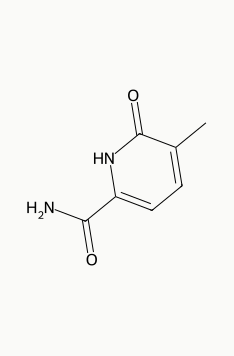 Cc1ccc(C(N)=O)[nH]c1=O